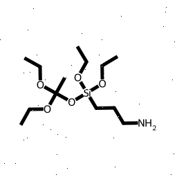 CCOC(C)(OCC)O[Si](CCCN)(OCC)OCC